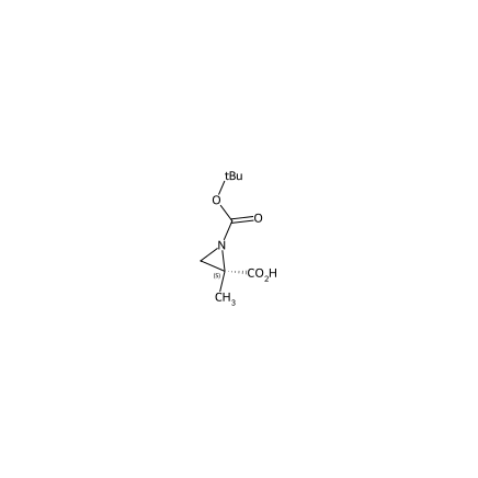 CC(C)(C)OC(=O)N1C[C@@]1(C)C(=O)O